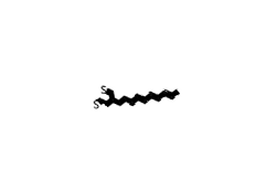 CCCCCCCCCCC(C=S)CC=S